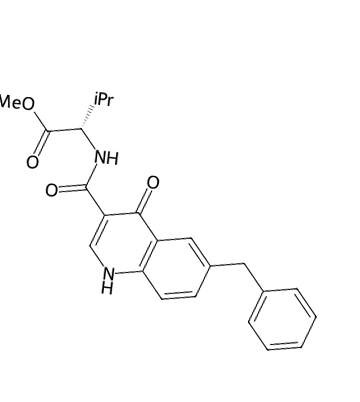 COC(=O)[C@@H](NC(=O)c1c[nH]c2ccc(Cc3ccccc3)cc2c1=O)C(C)C